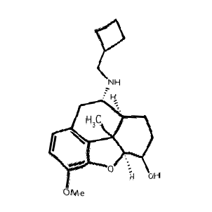 COc1ccc2c3c1O[C@@H]1C(O)CC[C@H]([C@@H](NCC4CCC4)C2)C31C